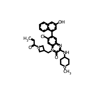 C=CC(=O)N1CC(Cn2c(=O)c(NC3CCN(C)CC3)nc3cc(-c4cc(O)cc5ccccc45)c(Cl)cc32)C1